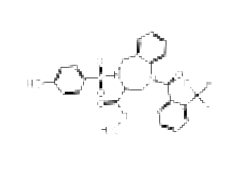 COC(=O)C1CN(C(=O)c2ccccc2C(F)(F)F)c2ccccc2CN1S(=O)(=O)c1ccc(O)cc1